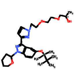 C[C@@H](O)COCCOCCn1ccc(-c2nn(C3CCCCO3)c3ccc(O[Si](C)(C)C(C)(C)C)cc23)n1